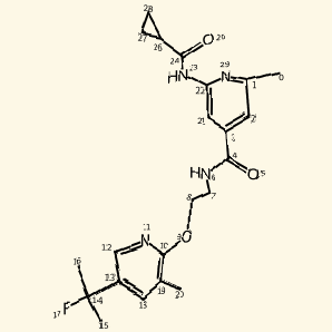 Cc1cc(C(=O)NCCOc2ncc(C(C)(C)F)cc2C)cc(NC(=O)C2CC2)n1